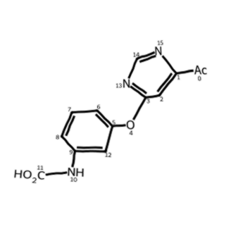 CC(=O)c1cc(Oc2cccc(NC(=O)O)c2)ncn1